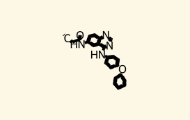 C=C=CC(=O)Nc1ccc2ncnc(Nc3ccc(Oc4ccccc4)cc3)c2c1